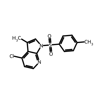 Cc1ccc(S(=O)(=O)n2cc(C)c3c(Cl)ccnc32)cc1